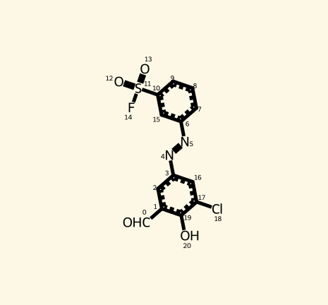 O=Cc1cc(N=Nc2cccc(S(=O)(=O)F)c2)cc(Cl)c1O